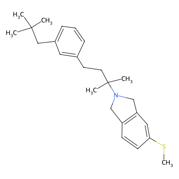 CSc1ccc2c(c1)CN(C(C)(C)CCc1cccc(CC(C)(C)C)c1)C2